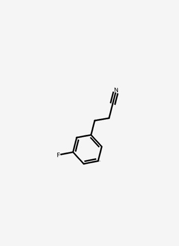 N#CCCc1c[c]cc(F)c1